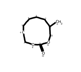 CC1CCCCCCOC(=O)OC1